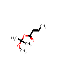 CC=CC(=O)OC(C)(C)OC